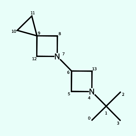 CC(C)(C)N1CC(N2CC3(CC3)C2)C1